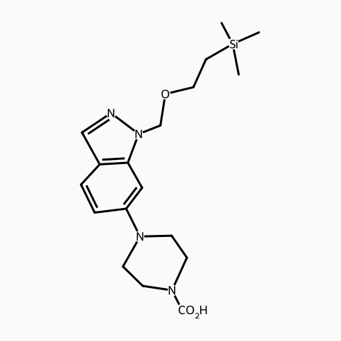 C[Si](C)(C)CCOCn1ncc2ccc(N3CCN(C(=O)O)CC3)cc21